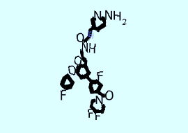 Nc1ccc(/C=C/C(=O)NCc2cc3cc(-c4ccc(C(=O)N5CCC(F)(F)CC5)cc4F)cc(Oc4ccc(F)cc4)c3o2)cn1